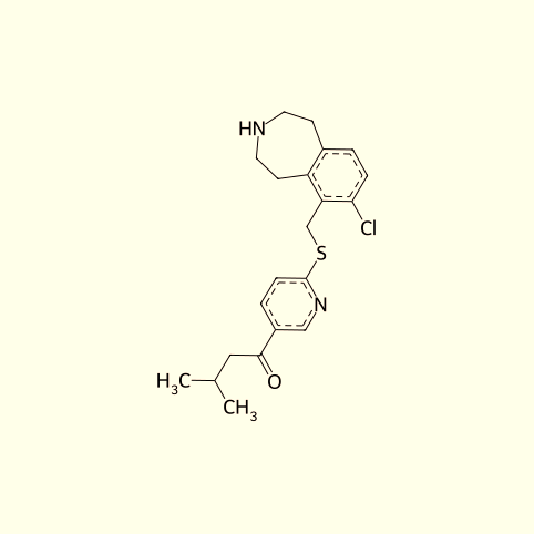 CC(C)CC(=O)c1ccc(SCc2c(Cl)ccc3c2CCNCC3)nc1